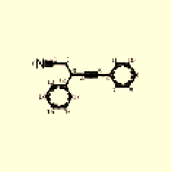 N#CCC(C#Cc1ccccc1)c1ccccc1